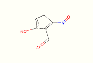 O=CC1=C(N=O)CC=C1O